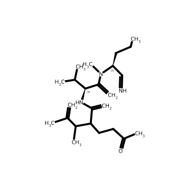 C=C(C)C(C)C(CCC(C)=O)C(=C)N[C@H](C(=C)N(C)[C@H](C=N)CCC)C(C)C